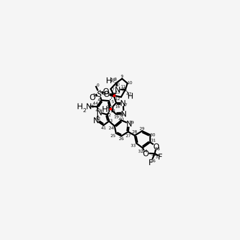 CS(=O)(=O)c1c([C@@H]2C[C@H]3CC[C@@H](C2)N3C(=O)c2nnc[nH]2)nc2c(-c3ccc(-c4ccc5c(c4)OC(F)(F)O5)nc3)cnn2c1N